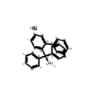 Br.PC(c1ccccc1)(c1ccccc1)c1ccccc1-c1ccccc1